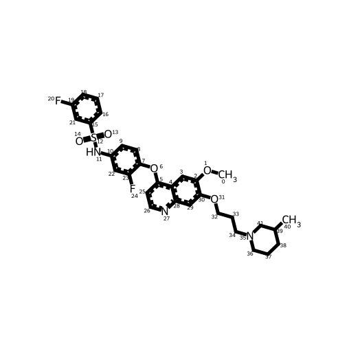 COc1cc2c(Oc3ccc(NS(=O)(=O)c4cccc(F)c4)cc3F)ccnc2cc1OCCCN1CCCC(C)C1